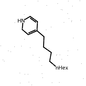 CCCCCCCCCCC1=CCNC=C1